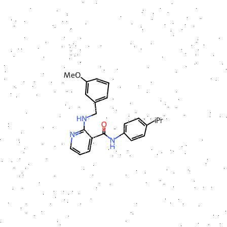 COc1cccc(CNc2ncccc2C(=O)Nc2ccc(C(C)C)cc2)c1